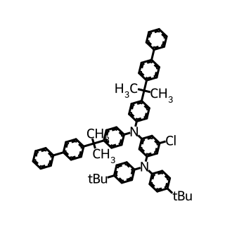 CC(C)(C)c1ccc(N(c2ccc(C(C)(C)C)cc2)c2cc(Cl)cc(N(c3ccc(C(C)(C)c4ccc(-c5ccccc5)cc4)cc3)c3ccc(C(C)(C)c4ccc(-c5ccccc5)cc4)cc3)c2)cc1